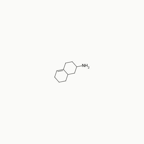 NC1CCC2=CCCCC2C1